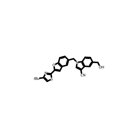 CC(C)(C)c1csc(-c2cc3cc(Cn4cc(C#N)c5cc(CO)ccc54)ccc3o2)n1